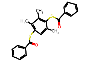 Cc1cc(SC(=O)c2ccccc2)c(C)c(C)c1SC(=O)c1ccccc1